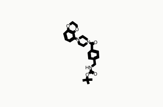 CC(C)(C)OC(=O)NCc1ccc(C(=O)N2CCN(c3cccc4c3OCCO4)CC2)cc1